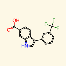 O=C(O)c1ccc2c(-c3cccc(C(F)(F)F)c3)c[nH]c2c1